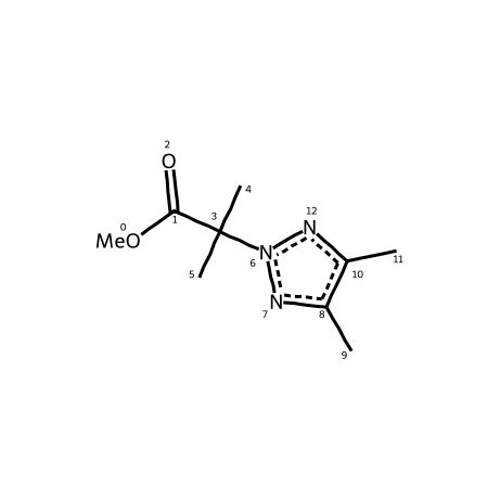 COC(=O)C(C)(C)n1nc(C)c(C)n1